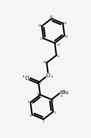 CC(C)(C)c1ccccc1C(=O)OCCc1ccccc1